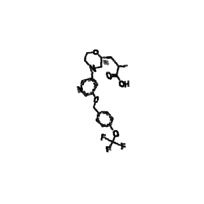 CC(C[C@H]1CN(c2cncc(OCc3ccc(OC(F)(F)F)cc3)c2)CCO1)C(=O)O